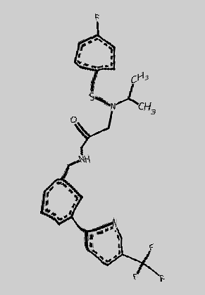 CC(C)N(CC(=O)NCc1cccc(-c2ccc(C(F)(F)F)cn2)c1)Sc1ccc(F)cc1